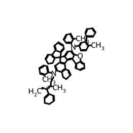 C=C/C(C1=CCCC=C1)=C(/C)CCN(c1ccccc1C)c1cc2c(c3c1CCC=C3)-c1c(cc(N(c3ccc(C)c(-c4ccccc4)c3)c3ccccc3C)c3oc4ccccc4c13)C21C2=C(C=CCC2)c2ccccc21